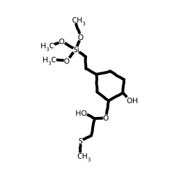 CO[Si](CCC1CCC(O)C(OC(O)CSC)C1)(OC)OC